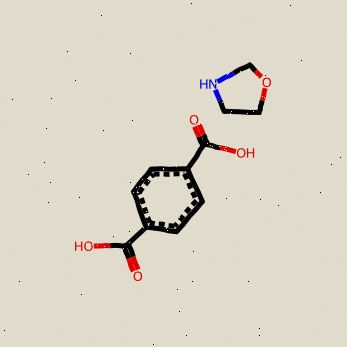 C1COCN1.O=C(O)c1ccc(C(=O)O)cc1